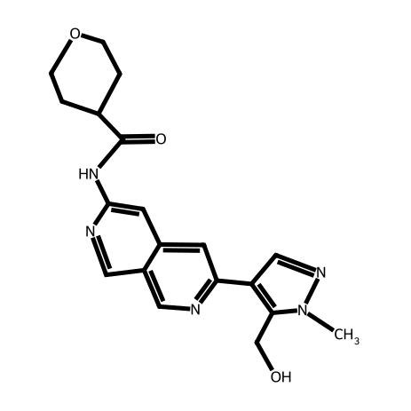 Cn1ncc(-c2cc3cc(NC(=O)C4CCOCC4)ncc3cn2)c1CO